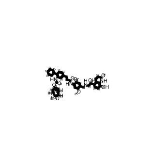 COc1cc(NC(=O)CCc2ccc(-c3ccccc3)c(NC(=O)O[C@@H]3C[C@@H]4[C@H]5O[C@H]5[C@H](C3)[N+]4(C)C)c2)c(Br)cc1CNC[C@H](O)c1ccc(O)c2[nH]c(=O)ccc12